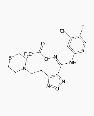 O=C(ON=C(Nc1ccc(F)c(Cl)c1)c1nonc1CCN1CCSCC1)C(F)(F)F